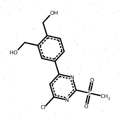 CS(=O)(=O)c1nc(Cl)cc(-c2ccc(CO)c(CO)c2)n1